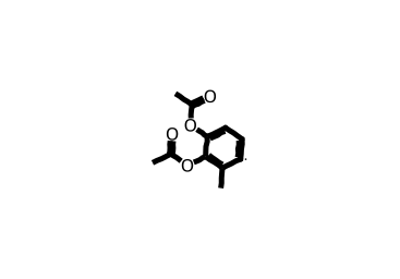 CC(=O)Oc1cc[c]c(C)c1OC(C)=O